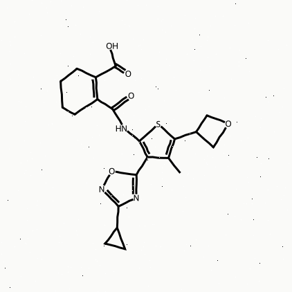 Cc1c(C2COC2)sc(NC(=O)C2=C(C(=O)O)CCCC2)c1-c1nc(C2CC2)no1